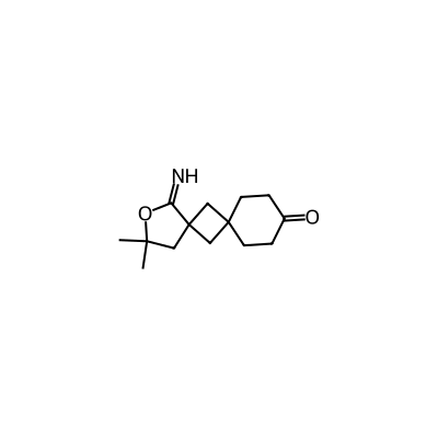 CC1(C)CC2(CC3(CCC(=O)CC3)C2)C(=N)O1